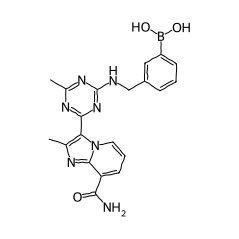 Cc1nc(NCc2cccc(B(O)O)c2)nc(-c2c(C)nc3c(C(N)=O)cccn23)n1